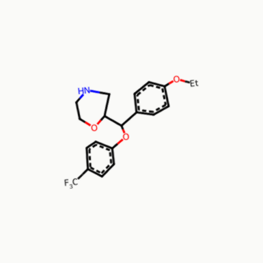 CCOc1ccc(C(Oc2ccc(C(F)(F)F)cc2)C2CNCCO2)cc1